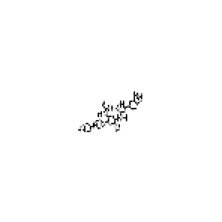 C=CC(=O)Nc1cc(Nc2cc(-c3ccc4cnn(C)c4c3)ncn2)c(OC)cc1N1CCN(C2CCN(C)CC2)CC1